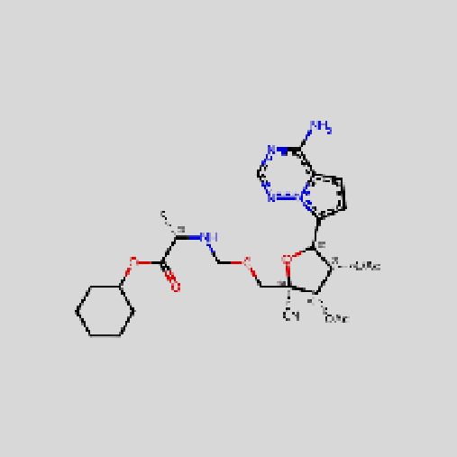 CC(=O)O[C@H]1[C@H](c2ccc3c(N)ncnn23)O[C@](C#N)(COCN[C@@H](C)C(=O)OC2CCCCC2)[C@H]1OC(C)=O